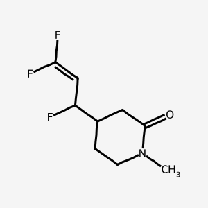 CN1CCC(C(F)C=C(F)F)CC1=O